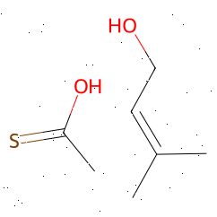 CC(C)=CCO.CC(O)=S